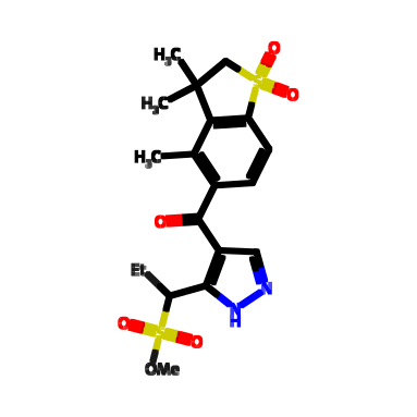 CCC(c1[nH]ncc1C(=O)c1ccc2c(c1C)C(C)(C)CS2(=O)=O)S(=O)(=O)OC